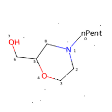 CCCCCN1CCOC(CO)C1